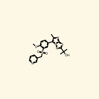 COc1ccc(-c2c(C)nc3sc(C(C)(C)O)nn23)cc1S(=O)(=O)Cc1cccnc1